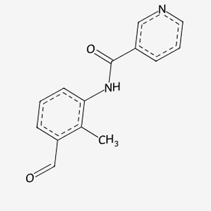 Cc1c(C=O)cccc1NC(=O)c1cccnc1